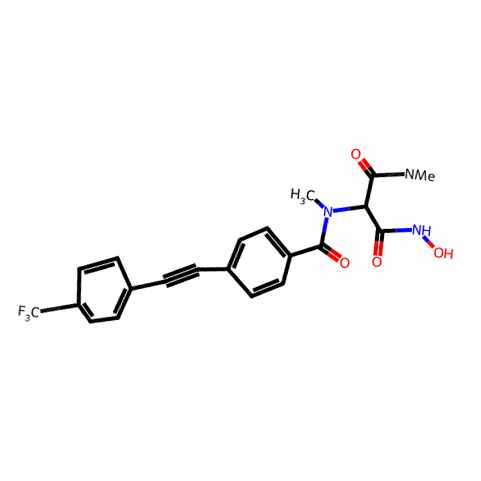 CNC(=O)C(C(=O)NO)N(C)C(=O)c1ccc(C#Cc2ccc(C(F)(F)F)cc2)cc1